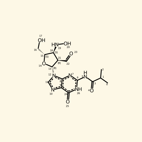 CC(C)C(=O)Nc1nc2c(ncn2[C@@H]2O[C@H](CO)[C@@H](NO)[C@H]2C=O)c(=O)[nH]1